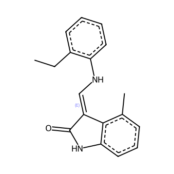 CCc1ccccc1N/C=C1/C(=O)Nc2cccc(C)c21